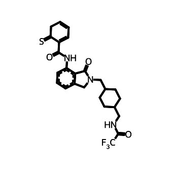 O=C(Nc1cccc2c1C(=O)N(CC1CCC(CNC(=O)C(F)(F)F)CC1)C2)C1=CC=CCC1=S